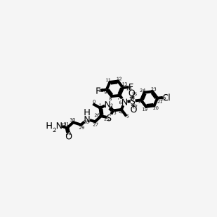 Cc1nc(C(C)N(c2cc(F)ccc2F)S(=O)(=O)c2ccc(Cl)cc2)sc1CNCCC(N)=O